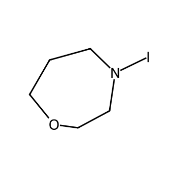 IN1CCCOCC1